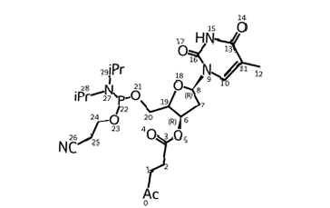 CC(=O)CCC(=O)O[C@@H]1C[C@H](n2cc(C)c(=O)[nH]c2=O)OC1COP(OCCC#N)N(C(C)C)C(C)C